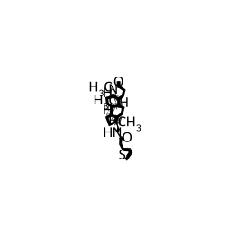 CN1C(=O)CC[C@]2(C)[C@H]3CC[C@]4(C)[C@@H](CNC(=O)Cc5cccs5)CC[C@H]4[C@@H]3CC[C@@H]12